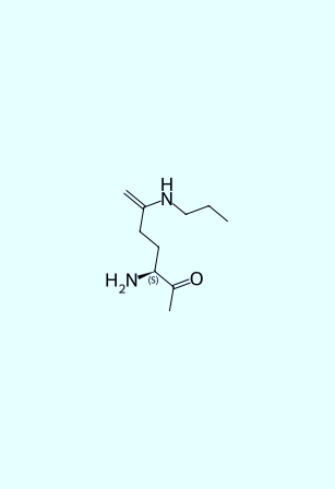 C=C(CC[C@H](N)C(C)=O)NCCC